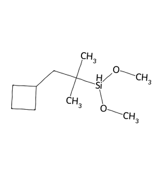 CO[SiH](OC)C(C)(C)CC1CCC1